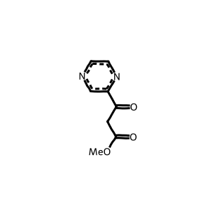 COC(=O)CC(=O)c1cnccn1